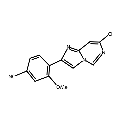 COc1cc(C#N)ccc1-c1cn2cnc(Cl)cc2n1